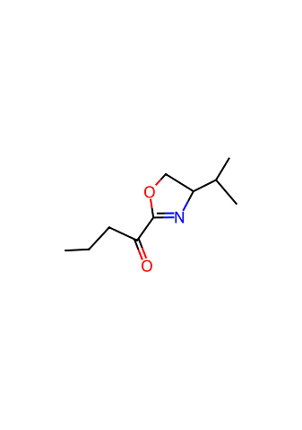 CCCC(=O)C1=NC(C(C)C)CO1